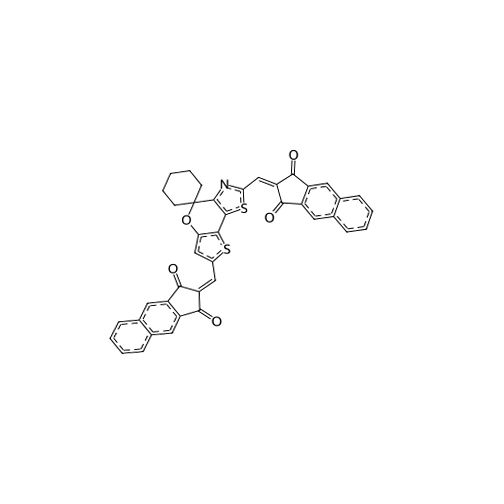 O=C1C(=Cc2cc3c(s2)-c2sc(C=C4C(=O)c5cc6ccccc6cc5C4=O)nc2C2(CCCCC2)O3)C(=O)c2cc3ccccc3cc21